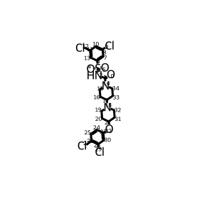 O=C(NS(=O)(=O)c1cc(Cl)cc(Cl)c1)N1CCC(N2CCC(Oc3ccc(Cl)c(Cl)c3)CC2)CC1